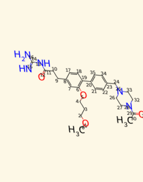 COCCCOc1cc(CCC(=O)NC(=N)N)ccc1-c1ccc(CN2CCN(C(C)=O)CC2)cc1